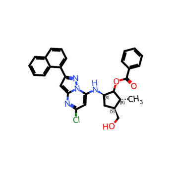 C[C@H]1C(OC(=O)c2ccccc2)[C@H](Nc2cc(Cl)nc3cc(-c4cccc5ccccc45)nn23)C[C@@H]1CO